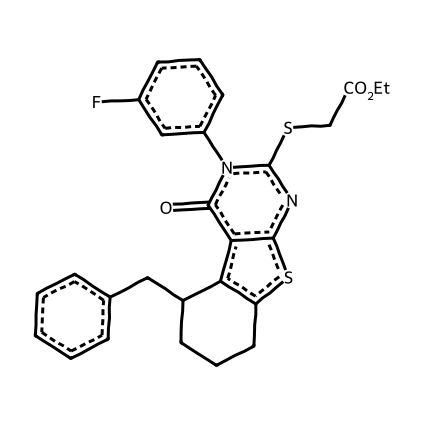 CCOC(=O)CSc1nc2sc3c(c2c(=O)n1-c1cccc(F)c1)C(Cc1ccccc1)CCC3